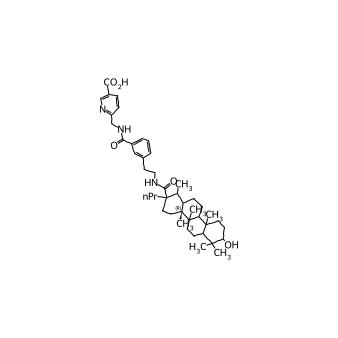 CCCC1(C(=O)NCCc2cccc(C(=O)NCc3ccc(C(=O)O)cn3)c2)CC[C@]2(C)C(CCC3C4(C)CCC(O)C(C)(C)C4CCC32C)C1C